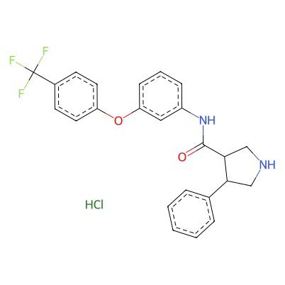 Cl.O=C(Nc1cccc(Oc2ccc(C(F)(F)F)cc2)c1)C1CNCC1c1ccccc1